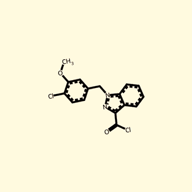 COc1cc(Cn2nc(C(=O)Cl)c3ccccc32)ccc1Cl